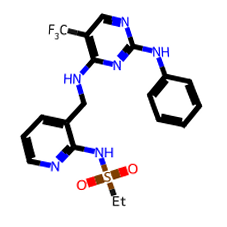 CCS(=O)(=O)Nc1ncccc1CNc1nc(Nc2cc[c]cc2)ncc1C(F)(F)F